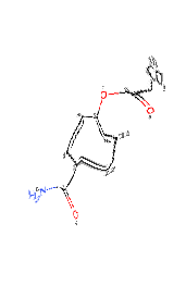 NC(=O)c1ccc(OC(=O)C(Cl)(Cl)Cl)cc1